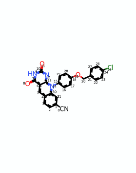 N#Cc1ccc2cc3c(=O)[nH]c(=O)nc-3n(-c3ccc(OCc4ccc(Cl)cc4)cc3)c2c1